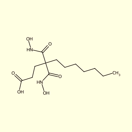 CCCCCCCC(CCC(=O)O)(C(=O)NO)C(=O)NO